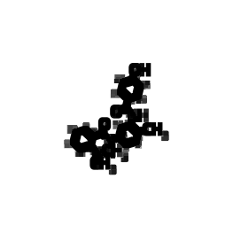 Cc1ccc(NC(=O)c2ccccc2N(C)C)cc1NC(=O)c1ccc(O)cc1